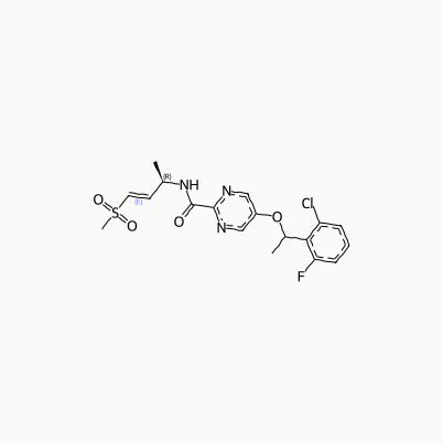 CC(Oc1cnc(C(=O)N[C@H](C)/C=C/S(C)(=O)=O)nc1)c1c(F)cccc1Cl